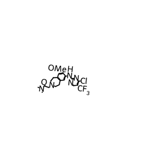 COc1cc2c(cc1Nc1ncc(C(F)(F)F)c(Cl)n1)CCN(CC(=O)N(C)C)CC2